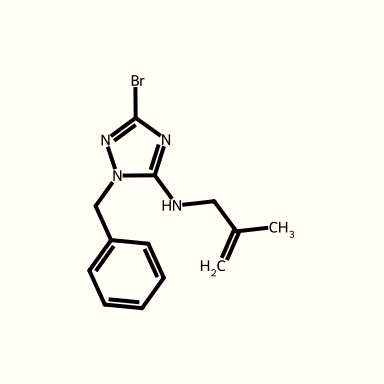 C=C(C)CNc1nc(Br)nn1Cc1ccccc1